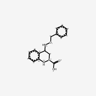 O=C(O)N1CC(NOCc2ccccc2)c2ccccc2N1